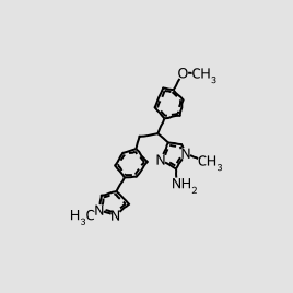 COc1ccc(C(Cc2ccc(-c3cnn(C)c3)cc2)c2cn(C)c(N)n2)cc1